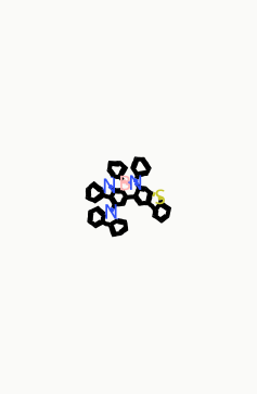 c1ccc(N2B3c4ccccc4-n4c5ccccc5c5c(-n6c7ccccc7c7ccccc76)cc(c3c54)-c3cc4c(cc32)sc2ccccc24)cc1